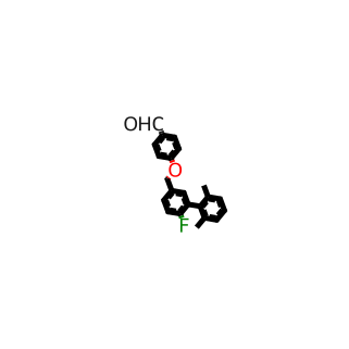 Cc1cccc(C)c1-c1cc(COc2ccc(C=O)cc2)ccc1F